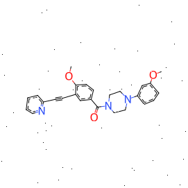 COc1cccc(N2CCN(C(=O)c3ccc(OC)c(C#Cc4ccccn4)c3)CC2)c1